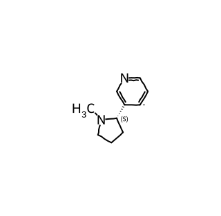 CN1CCC[C@H]1c1[c]ccnc1